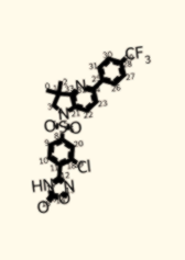 CC1(C)CN(S(=O)(=O)c2ccc(-c3noc(=O)[nH]3)c(Cl)c2)c2ccc(-c3ccc(C(F)(F)F)cc3)nc21